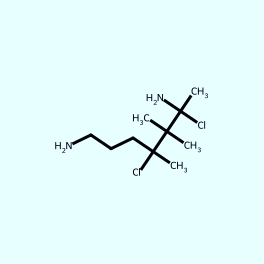 CC(N)(Cl)C(C)(C)C(C)(Cl)CCCN